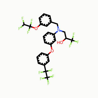 OC(CN(Cc1cccc(OC(F)(F)C(F)F)c1)c1cccc(Oc2cccc(C(F)(F)C(F)(F)F)c2)c1)C(F)(F)F